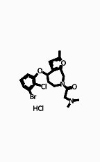 Cc1cc2c(o1)CN(C(=O)CN(C)C)CCC2Oc1cccc(Br)c1Cl.Cl